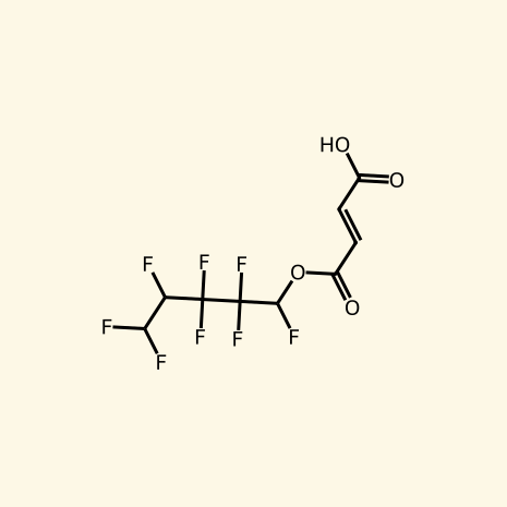 O=C(O)C=CC(=O)OC(F)C(F)(F)C(F)(F)C(F)C(F)F